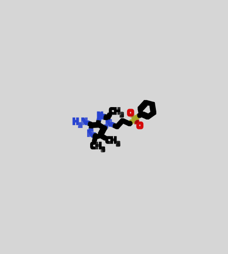 Cc1nc(N)c2nc(C)n(CCCS(=O)(=O)c3ccccc3)c2c1C